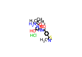 Cc1ncsc1-c1ccc([C@H](CO)NC(=O)[C@@H]2C[C@@H](O)CN2C(=O)C(N)C(C)(C)C)cc1.Cl